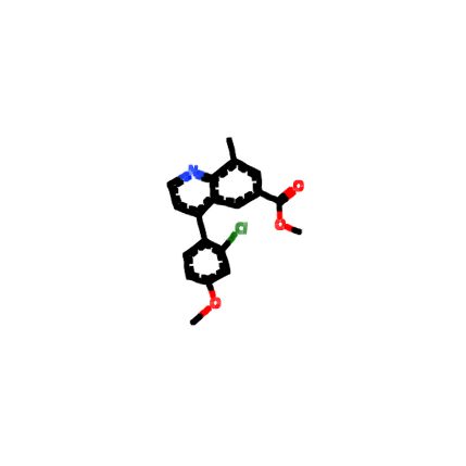 COC(=O)c1cc(C)c2nccc(-c3ccc(OC)cc3Cl)c2c1